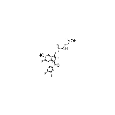 Cc1c(CCC(=O)NCCC(=O)O)c2cc(O)c(F)cc2n1C(=O)c1ccc(F)c(F)c1